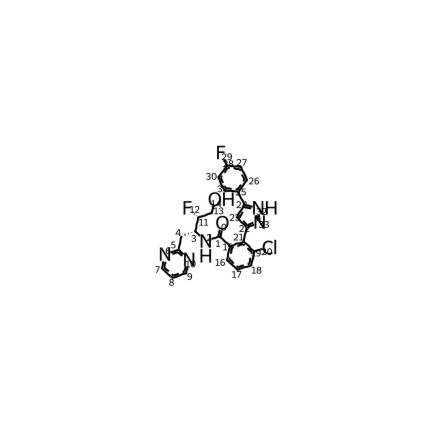 O=C(N[C@H](Cc1ncccn1)[C@H](F)CO)c1cccc(Cl)c1-c1cc(-c2ccc(F)cc2)[nH]n1